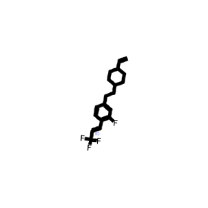 C=CC1CCC(CCc2ccc(/C=C/C(F)(F)F)c(F)c2)CC1